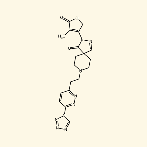 CC1=C(N2N=CC3(CCN(CCc4ccc(-n5cnnn5)nn4)CC3)C2=O)COC1=O